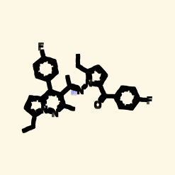 CCc1ccc(C(=O)c2ccc(F)cc2)n1/N=C(\C)c1c(C)nn2c(CC)ccc2c1-c1ccc(F)cc1